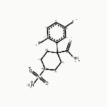 NC(=O)C1(c2cc(F)ccc2F)CCN(S(N)(=O)=O)CC1